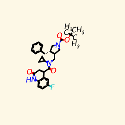 CC(C)(C)OC(=O)N1C[C@@H](Cc2ccccc2)[C@H](CN(C(=O)C2CC(=O)Nc3ccc(F)cc32)C2CC2)C1